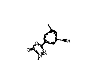 Cc1cc(C#N)cc(-c2nn(C)c(=O)o2)c1